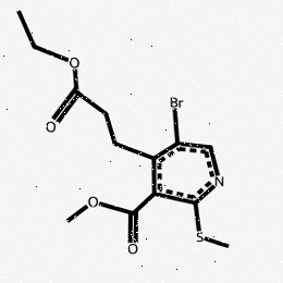 CCOC(=O)CCc1c(Br)cnc(SC)c1C(=O)OC